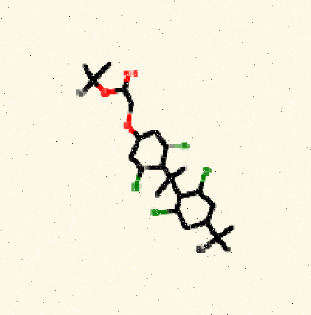 CCC(C)(C)OC(O)COC1CC(Br)C(C(C)(C)C2C(Br)CC(C(C)(C)CC)CC2Br)C(Br)C1